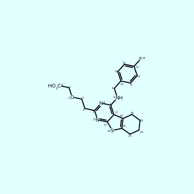 O=C(O)COCCc1nc(NCc2ccc(F)cc2)c2c3c(sc2n1)CCCC3